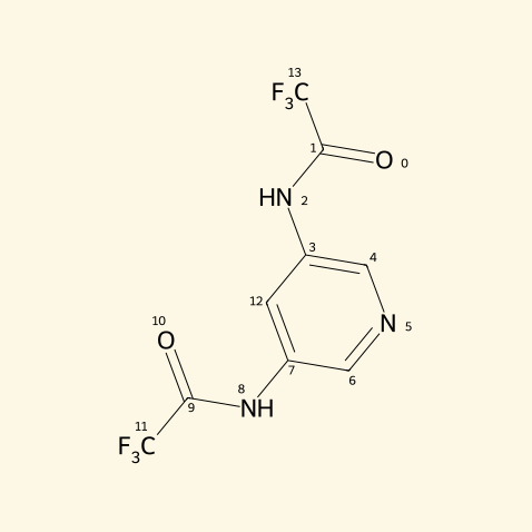 O=C(Nc1cncc(NC(=O)C(F)(F)F)c1)C(F)(F)F